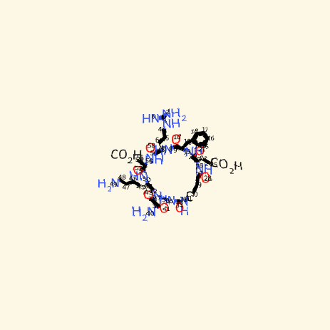 N=C(N)NCCC[C@@H]1NC(=O)C(Cc2ccccc2)NC(=O)[C@H](CCC(=O)O)NC(=O)CCCNC(=O)NCN(CC(N)=O)C(=O)[C@H](CCCCN)NC(=O)C(CC(=O)O)NC1=O